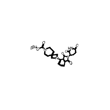 CC(C)(C)OC(=O)N1CCC2(CC1)CN(c1cccc3c1C(=O)N(C1CCC(=O)NC1=O)C3=O)C2